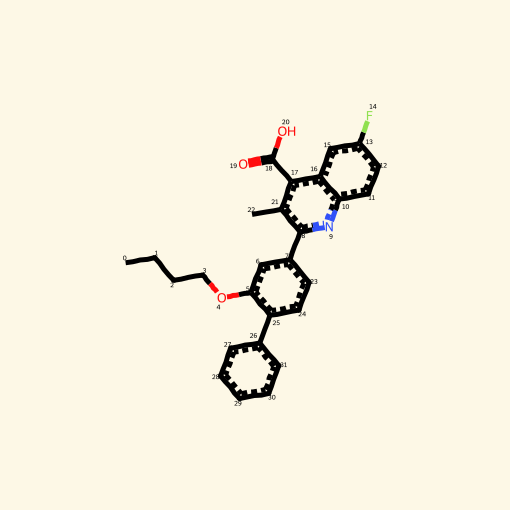 CCCCOc1cc(-c2nc3ccc(F)cc3c(C(=O)O)c2C)ccc1-c1ccccc1